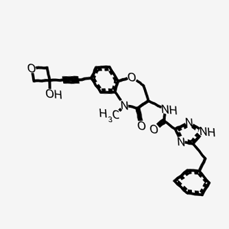 CN1C(=O)C(NC(=O)c2n[nH]c(Cc3ccccc3)n2)COc2ccc(C#CC3(O)COC3)cc21